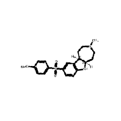 COc1ccc(S(=O)(=O)c2ccc3c(c2)[C@H]2CCN(C)CC[C@H]2N3)cc1